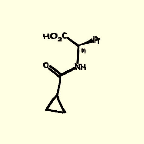 CC(C)[C@@H](NC(=O)C1CC1)C(=O)O